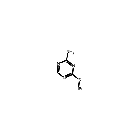 CC(C)Sc1ncnc(N)n1